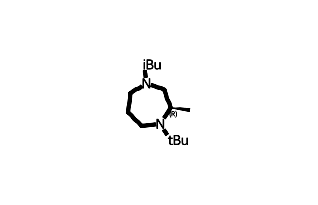 CCC(C)N1CCCN(C(C)(C)C)[C@H](C)C1